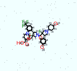 COC[C@@]1(F)CN(C(=O)[C@]2(F)CN([C@H]3CC[C@H](OC)CC3)C[C@H]2c2ccc(OC)cc2)C[C@@H]1c1ccc(C(F)(F)F)cc1N1CCC(C(=O)O)CC1